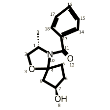 C[C@H]1COC2(CC[C@@H](O)C2)N1C(=O)c1ccccc1